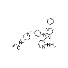 C=CC(=O)N1CC2(CCN(Cc3ccc(-n4c(-c5cccnc5N)nc5ccc(-c6ccccc6)nc54)cc3)CC2)C1